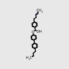 C=CCCc1ccc(-c2ccc(OC(O)c3ccc(CC/C=C/C)cc3)cc2)cc1